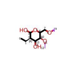 CC[C@H]1C(O)OC(COI)[C@@H](OI)C1O